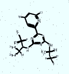 [2H]c1cc(Cl)nc(-c2nc(NC(C([2H])([2H])[2H])C(F)(F)F)nc(NC([2H])(C)C(F)(F)F)n2)c1